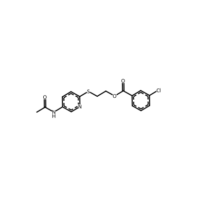 CC(=O)Nc1ccc(SCCOC(=O)c2cccc(Cl)c2)nc1